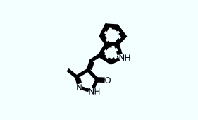 CC1=NNC(=O)C1=Cc1c[nH]c2ccccc12